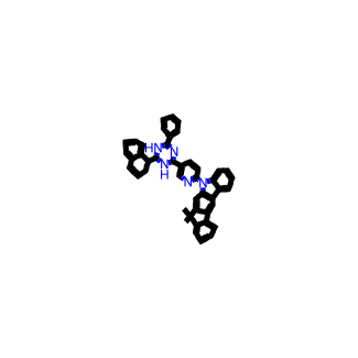 CC1(C)c2ccccc2-c2cc3c4ccccc4n(-c4ccc(C5N=C(c6ccccc6)NC(C6CC=Cc7ccccc76)N5)cn4)c3cc21